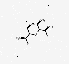 C=CC(OC(C=C)C(=C)F)C(=C)F